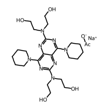 CC(=O)[O-].OCCN(CCO)c1nc(N2CCCCC2)c2nc(N(CCO)CCO)nc(N3CCCCC3)c2n1.[Na+]